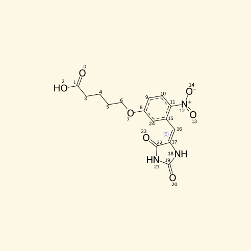 O=C(O)CCCCOc1ccc([N+](=O)[O-])c(/C=C2/NC(=O)NC2=O)c1